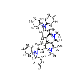 C=C/C=C\C(=C/C)N(c1ccccc1)c1ccc2c(c1C)N(C=C)c1cccc3c1B2c1ccc(N(c2ccccc2)c2ccccc2)c(C)c1N3C=C